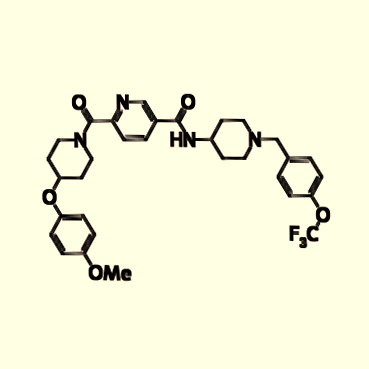 COc1ccc(OC2CCN(C(=O)c3ccc(C(=O)NC4CCN(Cc5ccc(OC(F)(F)F)cc5)CC4)cn3)CC2)cc1